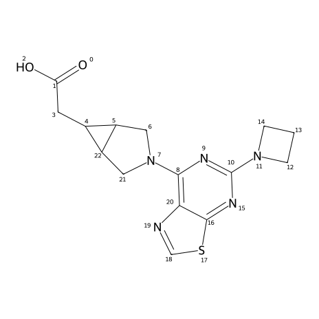 O=C(O)CC1C2CN(c3nc(N4CCC4)nc4scnc34)CC12